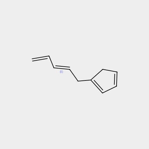 C=C/C=C/CC1=CC=CC1